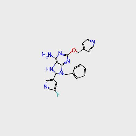 Nc1nc(OCc2ccncc2)nc2c1NC(c1cncc(F)c1)N2Cc1ccccc1